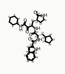 O=C(NC1CCCCC1)C(=O)C(C[C@@H]1CCNC1=O)NC(=O)[C@H](CC1CCCC1)NC(=O)c1cc2ccccc2[nH]1